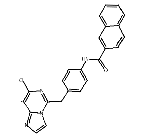 O=C(Nc1ccc(Cc2nc(Cl)[c]c3nccn23)cc1)c1ccc2ccccc2c1